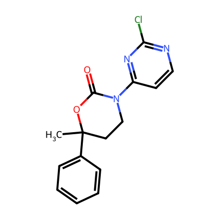 CC1(c2ccccc2)CCN(c2ccnc(Cl)n2)C(=O)O1